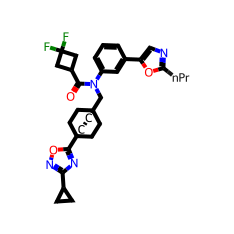 CCCc1ncc(-c2cccc(N(CC34CCC(c5nc(C6CC6)no5)(CC3)CC4)C(=O)C3CC(F)(F)C3)c2)o1